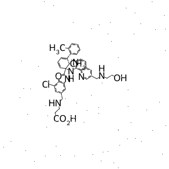 Cc1ccccc1C1=CC=CC(Nc2nccc3cc(CNCCO)cnc23)(c2nc3cc(CNCCC(=O)O)cc(Cl)c3o2)C1C